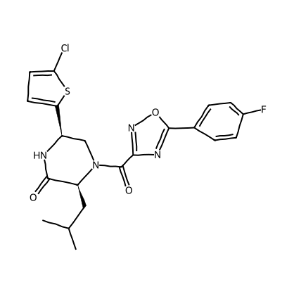 CC(C)C[C@H]1C(=O)N[C@@H](c2ccc(Cl)s2)CN1C(=O)c1noc(-c2ccc(F)cc2)n1